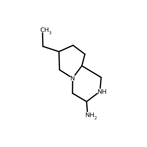 CCC1CCC2CNC(N)CN2C1